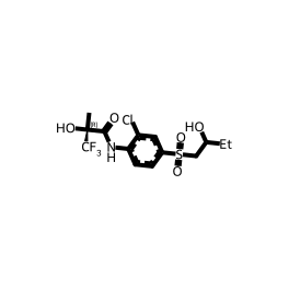 CCC(O)CS(=O)(=O)c1ccc(NC(=O)[C@@](C)(O)C(F)(F)F)c(Cl)c1